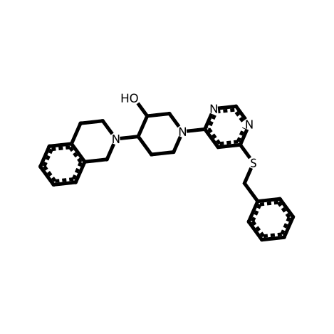 OC1CN(c2cc(SCc3ccccc3)ncn2)CCC1N1CCc2ccccc2C1